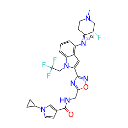 CN1CC/C(=N\c2cccc3c2cc(-c2noc(CNC(=O)c4ccn(C5CC5)c4)n2)n3CC(F)(F)F)[C@@H](F)C1